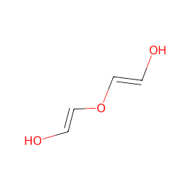 OC=COC=CO